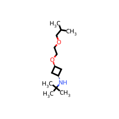 CC(C)COCCO[C@H]1C[C@H](NC(C)(C)C)C1